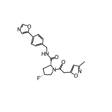 Cc1cc(CC(=O)N2C[C@H](F)C[C@H]2C(=O)NCc2ccc(-c3cnco3)cc2)on1